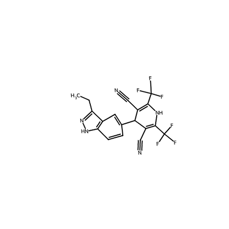 CCc1n[nH]c2ccc(C3C(C#N)=C(C(F)(F)F)NC(C(F)(F)F)=C3C#N)cc12